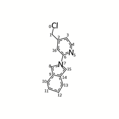 ClCc1ccnc(-n2cc3ccccc3c2)c1